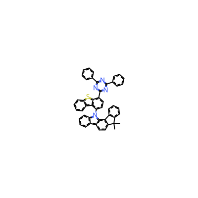 CC1(C)c2ccccc2-c2c1ccc1c3ccccc3n(-c3ccc(-c4nc(-c5ccccc5)nc(-c5ccccc5)n4)c4sc5ccccc5c34)c21